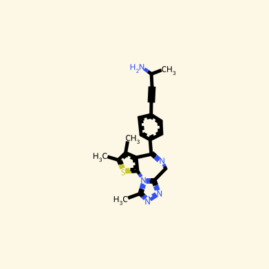 Cc1sc2c(c1C)C(c1ccc(C#CC(C)N)cc1)=NCc1nnc(C)n1-2